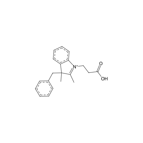 CC1=[N+](CCC(=O)O)c2ccccc2C1(C)Cc1ccccc1